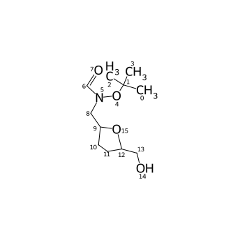 CC(C)(C)ON(C=O)CC1CCC(CO)O1